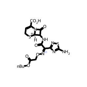 CCCCOC(=O)CO/N=C(\C(=O)NC1C(=O)N2C(C(=O)O)=CCS[C@H]12)c1nsc(N)n1